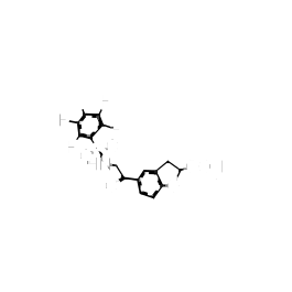 O=C(CNS(=O)(=O)c1c(F)c(F)c(F)c(F)c1F)c1ccc2c(c1)CC(C(=O)O)O2